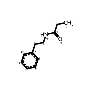 [CH2]CC(=O)NCCc1ccccc1